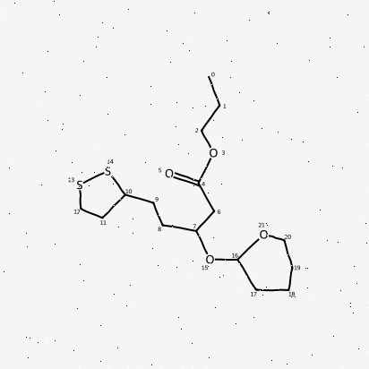 CCCOC(=O)CC(CCC1CCSS1)OC1CCCCO1